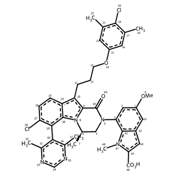 COc1cc(N2C[C@@H](C)n3c(c(CCCOc4cc(C)c(Cl)c(C)c4)c4ccc(Cl)c(-c5c(C)ncnc5C)c43)C2=O)c2c(c1)cc(C(=O)O)n2C